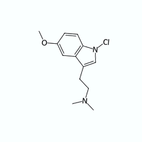 COc1ccc2c(c1)c(CCN(C)C)cn2Cl